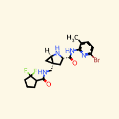 Cc1ccc(Br)nc1NC(=O)[C@@H]1C[C@@]2(CNC(=O)C3CCCC3(F)F)C[C@H]2N1